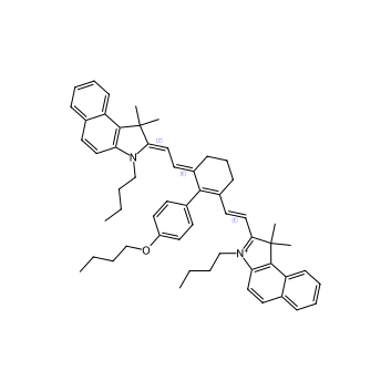 CCCCOc1ccc(C2=C(/C=C/C3=[N+](CCCC)c4ccc5ccccc5c4C3(C)C)CCC/C2=C\C=C2/N(CCCC)c3ccc4ccccc4c3C2(C)C)cc1